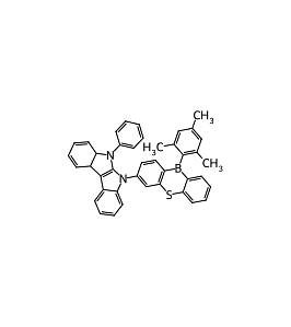 Cc1cc(C)c(B2c3ccccc3Sc3cc(-n4c5c(c6ccccc64)C4C=CC=CC4N5c4ccccc4)ccc32)c(C)c1